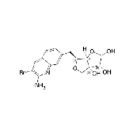 Nc1nc2cc(C[C@@H]3OC[C@@]4(O)[C@@H]3OC(O)[C@@H]4O)ccc2cc1Br